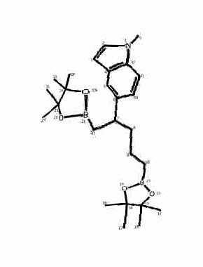 Cn1ccc2cc(C(CCCB3OC(C)(C)C(C)(C)O3)CB3OC(C)(C)C(C)(C)O3)ccc21